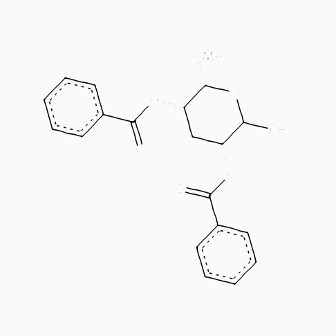 CO[C@@H]1OC(C)[C@H](OC(=O)c2ccccc2)C[C@@H]1OC(=O)c1ccccc1